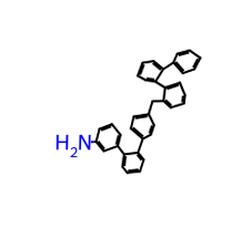 Nc1cccc(-c2ccccc2-c2ccc(Cc3ccccc3-c3ccccc3-c3ccccc3)cc2)c1